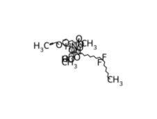 CC#CCOc1ccc(C[C@H](NC(=O)[C@@H](C=CCCCCCCC(F)(F)CCCCCCC)[C@@](O)(CCOC)C(=O)O)C(=O)OC)cc1